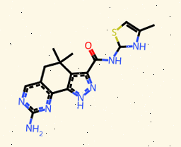 CC1=CSC(NC(=O)c2n[nH]c3c2C(C)(C)Cc2cnc(N)nc2-3)N1